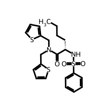 CCCC[C@H](NS(=O)(=O)c1ccccc1)C(=O)N(Cc1cccs1)Cc1cccs1